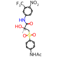 CC(=O)Nc1ccc(S(=O)(=O)C[C@@](C)(O)C(=O)Nc2ccc([N+](=O)[O-])c(C(F)(F)F)c2)cc1